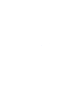 CC/C=C\C/C=C/CCCCCCCOC(C)=O